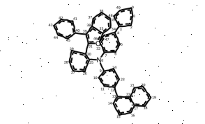 c1ccc(-c2ccc(N(c3ccc(-c4cccc5ccccc45)cc3)c3ccccc3-c3oc4ccccc4c3-c3ccccc3)cc2)cc1